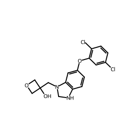 OC1(CN2CNc3ccc(Oc4cc(Cl)ccc4Cl)cc32)COC1